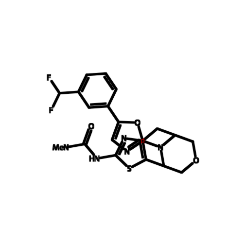 CNC(=O)Nc1nc2c(s1)C1COCC(C2)N1c1ncc(-c2cccc(C(F)F)c2)o1